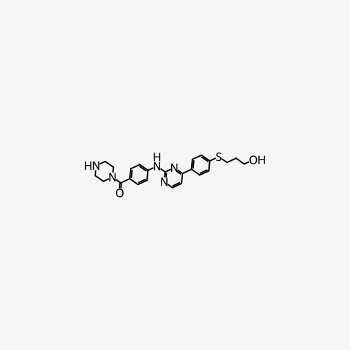 O=C(c1ccc(Nc2nccc(-c3ccc(SCCCO)cc3)n2)cc1)N1CCNCC1